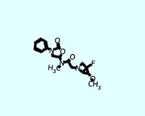 COC1C2N(CC(=O)N(C)C3CN(c4ccccc4)C(=O)O3)CC12F